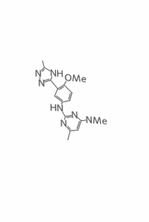 CNc1cc(C)nc(Nc2ccc(OC)c(-c3nnc(C)[nH]3)c2)n1